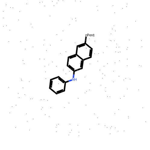 CCCCCc1ccc2cc(Nc3ccccc3)ccc2c1